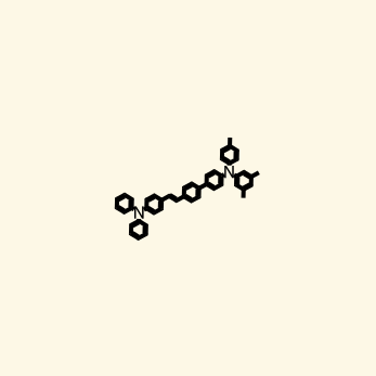 Cc1ccc(N(c2ccc(-c3ccc(/C=C/c4ccc(N(c5ccccc5)c5ccccc5)cc4)cc3)cc2)c2cc(C)cc(C)c2)cc1